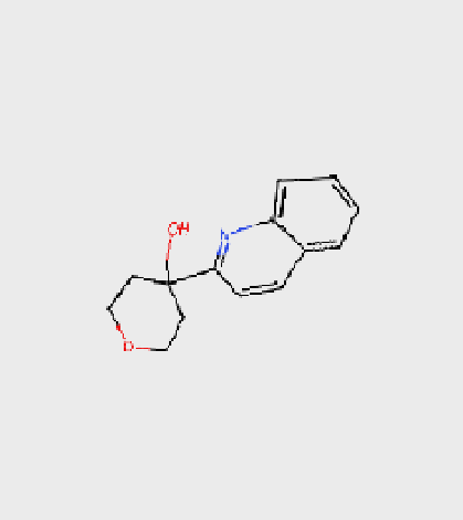 OC1(c2ccc3ccccc3n2)CCOCC1